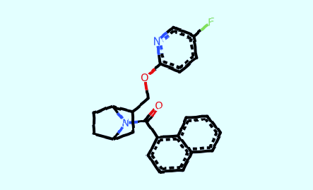 O=C(c1cccc2ccccc12)N1C2CCC1C(COc1ccc(F)cn1)C2